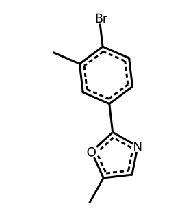 Cc1cnc(-c2ccc(Br)c(C)c2)o1